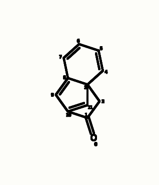 O=C1CC23C=CC=CC2=CC1=C3